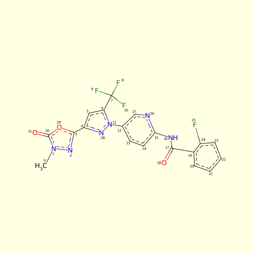 Cn1nc(-c2cc(C(F)(F)F)n(-c3ccc(NC(=O)c4ccccc4F)nc3)n2)oc1=O